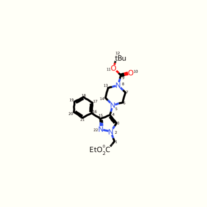 CCOC(=O)Cn1cc(N2CCN(C(=O)OC(C)(C)C)CC2)c(-c2ccccc2)n1